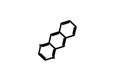 [c]1c2ccccc2cc2nccnc12